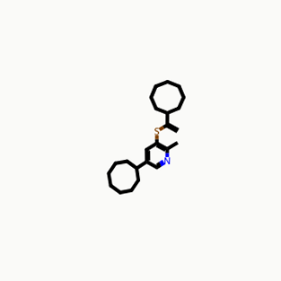 C=C(Sc1cc(C2CCCCCCC2)cnc1C)C1CCCCCCC1